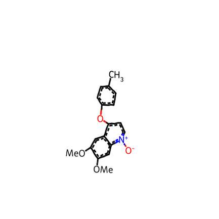 COc1cc2c(Oc3ccc(C)cc3)cc[n+]([O-])c2cc1OC